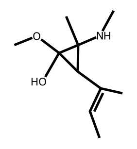 C/C=C(\C)C1C(C)(NC)C1(O)OC